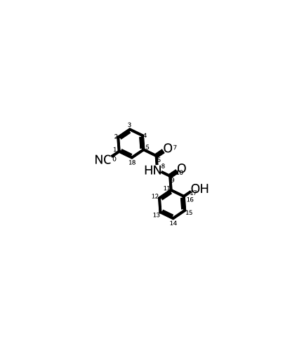 N#Cc1cccc(C(=O)NC(=O)c2ccccc2O)c1